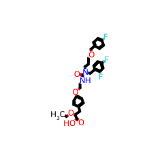 CCOC(Cc1ccc(OCCNC(=O)N(CCCOCc2ccc(F)cc2)Cc2ccc(F)cc2F)cc1)C(=O)O